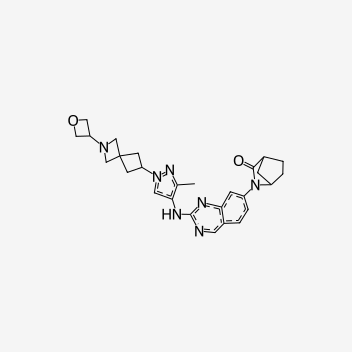 Cc1nn(C2CC3(C2)CN(C2COC2)C3)cc1Nc1ncc2ccc(N3C(=O)C4CCC3C4)cc2n1